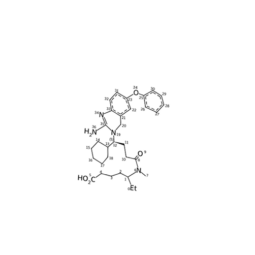 CCC(CCCC(=O)O)N(C)C(=O)CC[C@@H](C1CCCCC1)N1Cc2cc(Oc3ccccc3)ccc2N=C1N